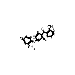 Cc1c#cccc1C(=O)c1ccc(Nc2ccc(F)cc2C)cc1Cl